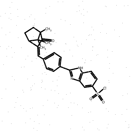 CC12CCC(C(=Cc3ccc(-c4nc5cc(S(=O)(=O)Cl)ccc5[nH]4)cc3)C1=O)C2(C)C